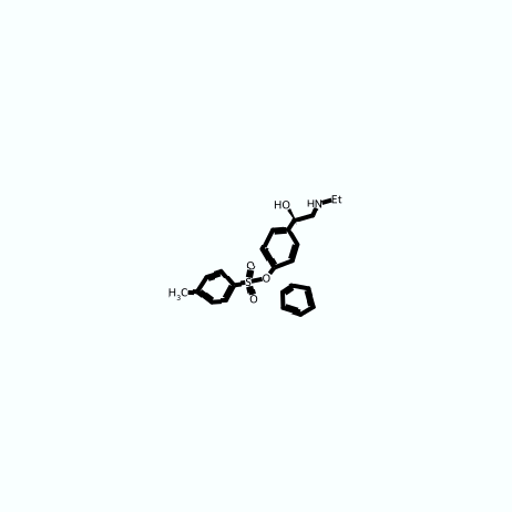 CCNC[C@H](O)c1ccc(OS(=O)(=O)c2ccc(C)cc2)cc1.c1ccccc1